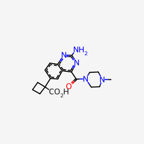 CN1CCN(C(=O)c2nc(N)nc3ccc(C4(C(=O)O)CCC4)cc23)CC1